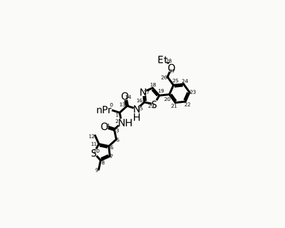 CCCC(NC(=O)Cc1cc(C)sc1C)C(=O)Nc1ncc(-c2ccccc2COCC)s1